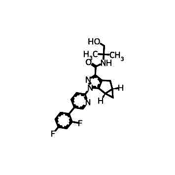 CC(C)(CO)NC(=O)c1nn(-c2ccc(-c3ccc(F)cc3F)cn2)c2c1C[C@@H]1C[C@H]21